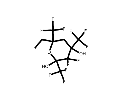 CCC1(C(F)(F)F)CC(O)(C(F)(F)F)C(F)(F)C(O)(C(F)(F)F)O1